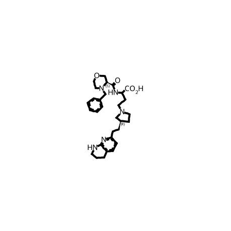 O=C(O)C(CCN1CC[C@@H](CCc2ccc3c(n2)NCCC3)C1)NC(=O)[C@@H]1COCCN1Cc1ccccc1